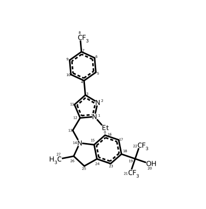 CCn1nc(-c2ccc(C(F)(F)F)cc2)cc1CN1c2ccc(C(O)(C(F)(F)F)C(F)(F)F)cc2CC1C